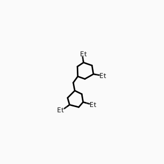 CCC1CC(CC)CC(CC2CC(CC)CC(CC)C2)C1